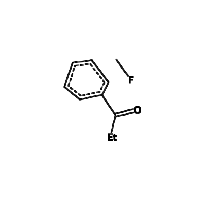 CCC(=O)c1ccccc1.CF